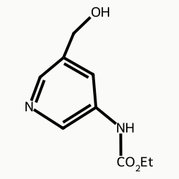 CCOC(=O)Nc1cncc(CO)c1